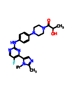 Cc1ncc(-c2nc(Nc3ccc(N4CCN(C(=O)C(C)O)CC4)cc3)ncc2F)n1C(C)C